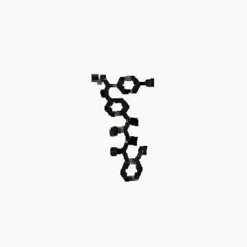 CC(Oc1ccc(NC(=O)NC(=O)c2ccccc2Cl)cc1)c1ccc(Cl)cc1